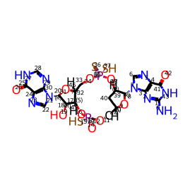 Nc1nc2c(ncn2[C@@H]2O[C@@H]3CO[P@@](=O)(S)O[C@H]4[C@@H](O)[C@H](n5cnc6c(=O)[nH]cnc65)O[C@@H]4CO[P@@](=S)(S)O[C@@H]2C3)c(=O)[nH]1